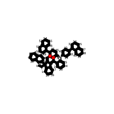 CCC1(c2ccc3ccccc3c2)c2ccccc2-c2c(-c3ccccc3N(c3ccc(-c4cccc5ccccc45)cc3)c3ccc(-c4cccc5ccccc45)cc3)cccc21